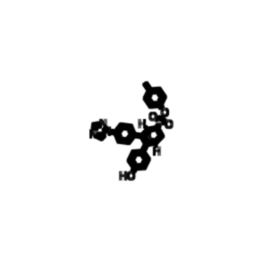 Cc1ccc(OS(=O)(=O)C2C[C@H]3O[C@@H]2C(c2ccc(-n4cncn4)cc2)=C3c2ccc(O)cc2)cc1